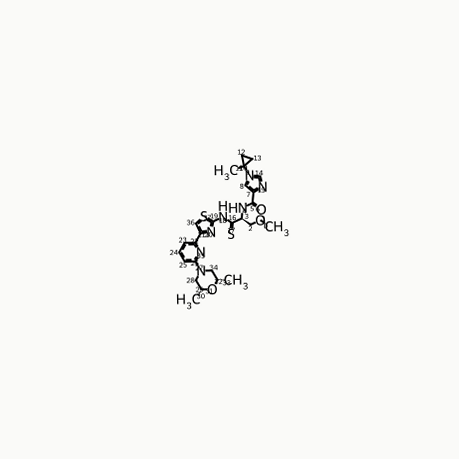 COC[C@H](NC(=O)c1cn(C2(C)CC2)cn1)C(=S)Nc1nc(-c2cccc(N3C[C@@H](C)O[C@@H](C)C3)n2)cs1